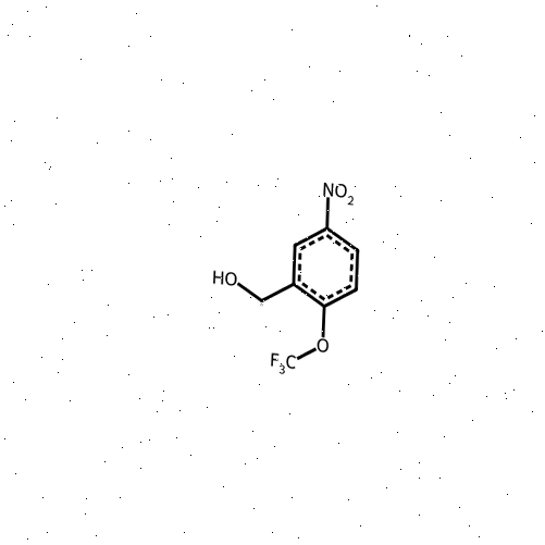 O=[N+]([O-])c1ccc(OC(F)(F)F)c([CH]O)c1